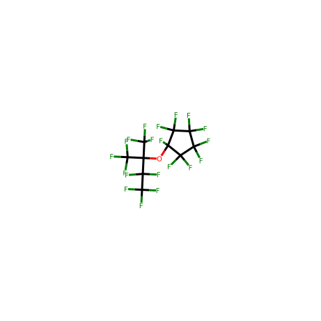 FC(F)(F)C(F)(F)C(OC1(F)C(F)(F)C(F)(F)C(F)(F)C1(F)F)(C(F)(F)F)C(F)(F)F